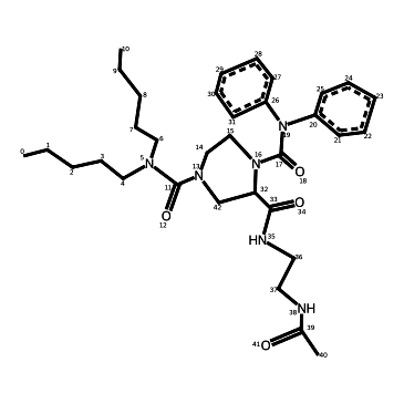 CCCCCN(CCCCC)C(=O)N1CCN(C(=O)N(c2ccccc2)c2ccccc2)C(C(=O)NCCNC(C)=O)C1